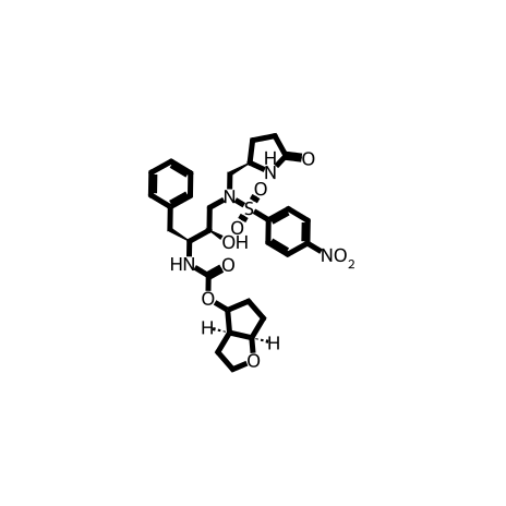 O=C1CC[C@H](CN(C[C@@H](O)[C@H](Cc2ccccc2)NC(=O)OC2CC[C@H]3OCC[C@@H]23)S(=O)(=O)c2ccc([N+](=O)[O-])cc2)N1